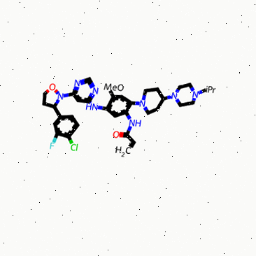 C=CC(=O)Nc1cc(Nc2cc(N3OCCC3c3ccc(Cl)c(F)c3)ncn2)c(OC)cc1N1CCC(N2CCN(C(C)C)CC2)CC1